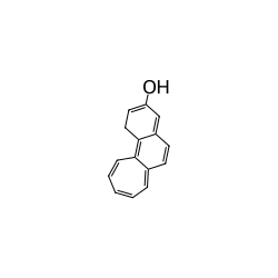 OC1=CCc2c3c(ccc2=C1)=CC=CC=C3